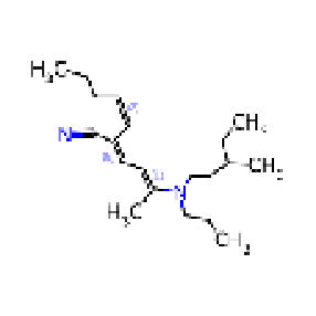 CCC\C=C/C(C#N)=C\C=C(/C)N(CCC)CCC(C)CC